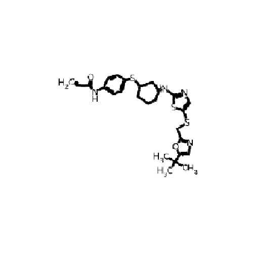 C=CC(=O)Nc1ccc(SC2CCC[C@@H](Nc3ncc(SCc4ncc(C(C)(C)C)o4)s3)C2)cc1